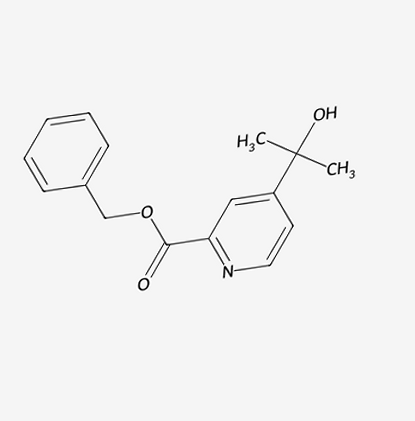 CC(C)(O)c1ccnc(C(=O)OCc2ccccc2)c1